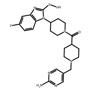 CCCSc1nc2cc(F)ccc2n1C1CCN(C(=O)C2CCN(Cc3cnc(N)nc3)CC2)CC1